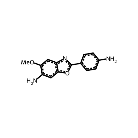 COc1cc2nc(-c3ccc(N)cc3)oc2cc1N